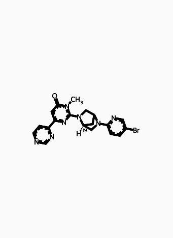 Cn1c(N2CC3C[C@H]2CN3c2ccc(Br)cn2)nc(-c2ccncn2)cc1=O